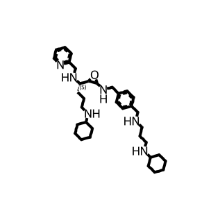 c1ccc(CN[C@@H](CCCNC2CCCCC2)C2OC2NCc2ccc(CNCCCNC3CCCCC3)cc2)nc1